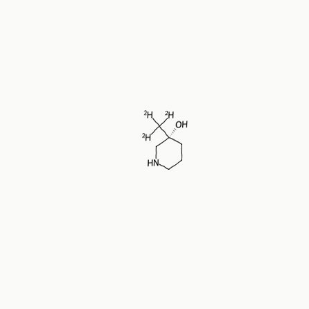 [2H]C([2H])([2H])[C@@]1(O)CCCNC1